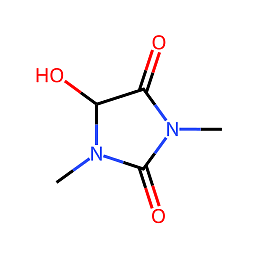 CN1C(=O)C(O)N(C)C1=O